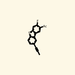 CC#Cc1ccc2sc3cc(F)c(C(C)=O)cc3c2c1